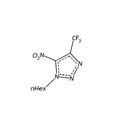 CCCCCCn1nnc(C(F)(F)F)c1[N+](=O)[O-]